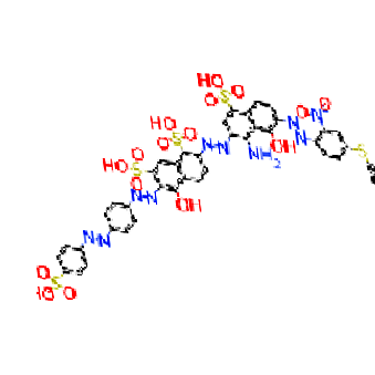 C#CSc1ccc(N=Nc2ccc3c(S(=O)(=O)O)cc(N=Nc4ccc5c(O)c(N=Nc6ccc(N=Nc7ccc(S(=O)(=O)O)cc7)cc6)c(S(=O)(=O)O)cc5c4S(=O)(=O)O)c(N)c3c2O)c([N+](=O)[O-])c1